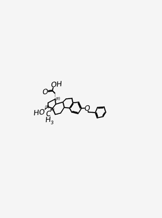 C[C@]12CCC3c4ccc(OCc5ccccc5)cc4CCC3C1[C@@H](CC(=O)O)C[C@@H]2O